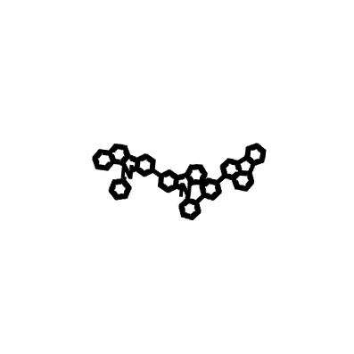 c1ccc(-n2c3cc(-c4ccc5c(c4)c4ccccc4n5-c4ccccc4-c4ccc(-c5ccc6c7c(cccc57)-c5ccccc5-6)cc4)ccc3c3ccc4ccccc4c32)cc1